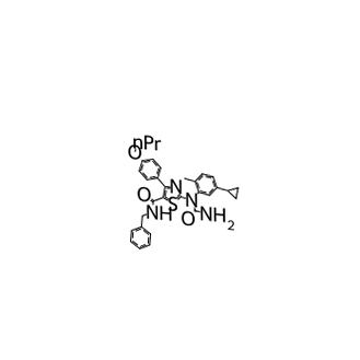 CCCOc1ccc(-c2nc(N(C(N)=O)c3cc(C4CC4)ccc3C)sc2C(=O)NCc2ccccc2)cc1